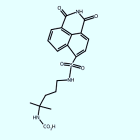 CC(C)(CCCNS(=O)(=O)c1ccc2c3c(cccc13)C(=O)NC2=O)NC(=O)O